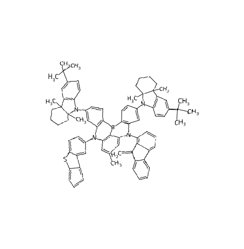 C=C1c2ccccc2-c2cccc(N3c4cc(N5c6ccc(C(C)(C)C)cc6C6(C)CCCCC56C)ccc4B4c5ccc(N6c7ccc(C(C)(C)C)cc7C7(C)CCCCC67C)cc5N(c5ccc6sc7ccccc7c6c5)c5cc(C)cc3c54)c21